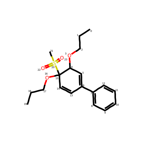 CCCOC1C=C(c2ccccc2)C=CC1(OCCC)S(C)(=O)=O